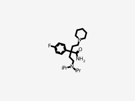 CC(C)N(CCC(CCN1CCCCC1)(C(N)=O)c1ccc(F)cc1)C(C)C